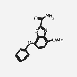 COc1ccc(Oc2ccccc2)c2sc(C(N)=O)nc12